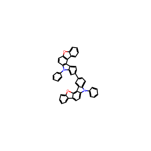 c1ccc(-n2c3ccc(-c4ccc5c6c7c(ccc6n(-c6ccccc6)c5c4)oc4ccccc47)cc3c3c4oc5ccccc5c4ccc32)cc1